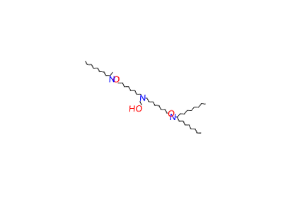 CCCCCCCCC(CCCCCCCC)=NOCCCCCCCCN(CCO)CCCCCCCCO/N=C(\C)CCCCCCCC